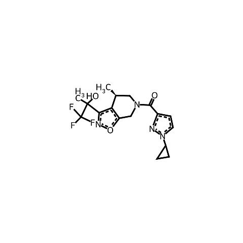 C[C@H]1CN(C(=O)c2ccn(C3CC3)n2)Cc2onc(C(C)(O)C(F)(F)F)c21